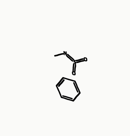 CN=S(=O)=O.c1ccccc1